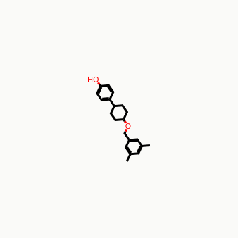 Cc1cc(C)cc(COC2CCC(c3ccc(O)cc3)CC2)c1